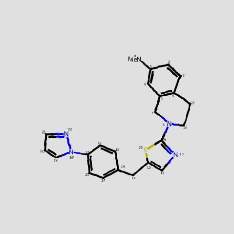 CNc1ccc2c(c1)CN(c1ncc(Cc3ccc(-n4cccn4)cc3)s1)CC2